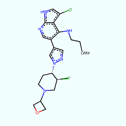 COCCNc1c(-c2cnn([C@H]3CCN(C4COC4)C[C@@H]3F)c2)cnc2[nH]cc(Cl)c12